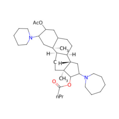 CCCC(=O)OC1C(N2CCCCCC2)C[C@H]2[C@@H]3CCC4CC(OC(C)=O)C(N5CCCCC5)C[C@]4(C)[C@@H]3CC[C@]12C